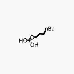 CCCCCCCOP(O)O